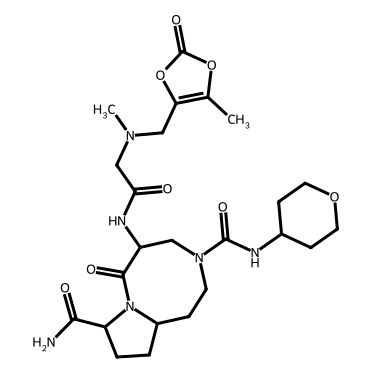 Cc1oc(=O)oc1CN(C)CC(=O)NC1CN(C(=O)NC2CCOCC2)CCC2CCC(C(N)=O)N2C1=O